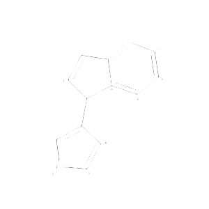 C1=CC(c2ccoc2)c2ccccc21